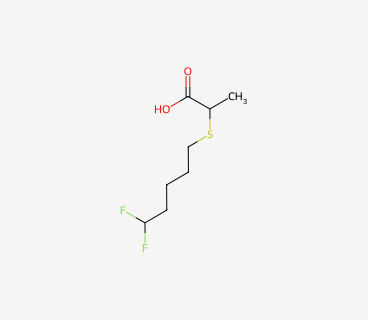 CC(SCCCCC(F)F)C(=O)O